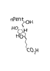 CCCCC[C@H](O)/C=C/[C@@H]1[C@H]2C/C(=C/CCCC(=O)O)O[C@@H]2C[C@H]1O